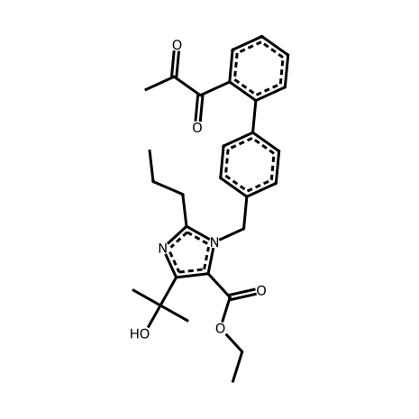 CCCc1nc(C(C)(C)O)c(C(=O)OCC)n1Cc1ccc(-c2ccccc2C(=O)C(C)=O)cc1